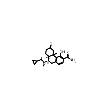 CN(CC1CC1)[C@@H]1Cc2ccc(C(N)=S)c(O)c2C2(C)CC(=O)CC[C@@]12O